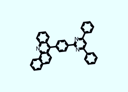 c1ccc(-c2cc(-c3ccccc3)nc(-c3ccc(-c4c5ccccc5nc5c4ccc4ccccc45)cc3)n2)cc1